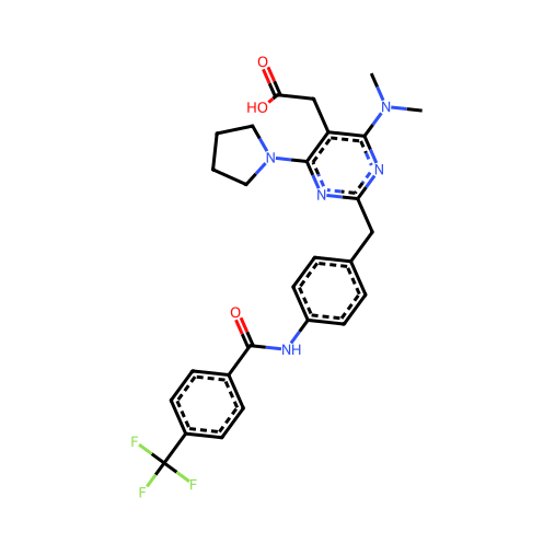 CN(C)c1nc(Cc2ccc(NC(=O)c3ccc(C(F)(F)F)cc3)cc2)nc(N2CCCC2)c1CC(=O)O